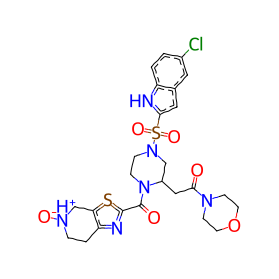 O=C(CC1CN(S(=O)(=O)c2cc3cc(Cl)ccc3[nH]2)CCN1C(=O)c1nc2c(s1)C[NH+]([O-])CC2)N1CCOCC1